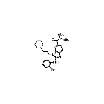 CCCCN(CCCC)C(=O)c1ccc2nc(Nc3ccccc3Br)n(CCCN3CCCCC3)c2n1